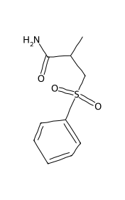 CC(CS(=O)(=O)c1ccccc1)C(N)=O